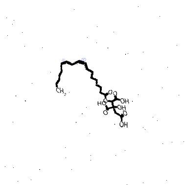 CCCCC/C=C\C/C=C\CCCCCCCC(=O)OC(C(=O)O)C(O)(CC(=O)O)C(=O)O